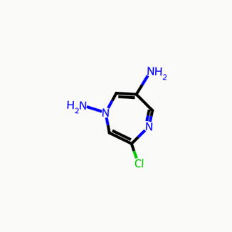 NC1=CN(N)C=C(Cl)N=C1